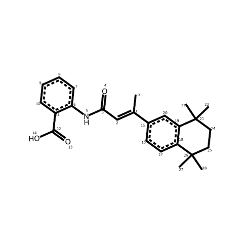 C/C(=C\C(=O)Nc1ccccc1C(=O)O)c1ccc2c(c1)C(C)(C)CCC2(C)C